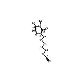 [C]#CCCCCCCc1ccc(C)c(C)c1C